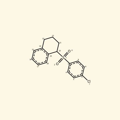 O=S(=O)(c1ccc(Cl)cc1)C1CCCc2ccccc21